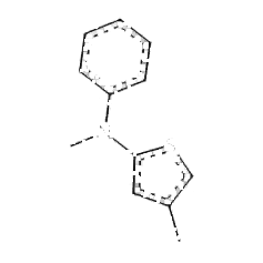 Cc1csc(N(C)c2ccccc2)c1